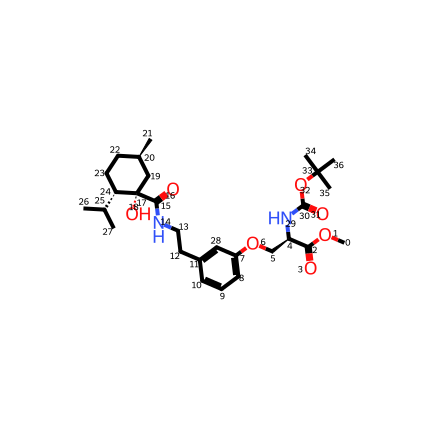 COC(=O)[C@@H](COc1cccc(CCNC(=O)[C@]2(O)C[C@H](C)CC[C@H]2C(C)C)c1)NC(=O)OC(C)(C)C